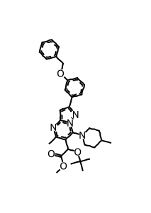 COC(=O)C(OC(C)(C)C)c1c(C)nc2cc(-c3cccc(OCc4ccccc4)c3)nn2c1N1CCC(C)CC1